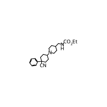 CCOC(=O)NCC1CCN(C2CCC(C#N)(c3ccccc3)CC2)CC1